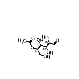 CC(=O)O[C@H](CO)[C@@H](O)[C@H](O)[C@@H](O)C=O